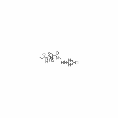 C=CC(=O)Nc1nc(C(=O)N(CS)CCCNc2ncc(Cl)cn2)cs1